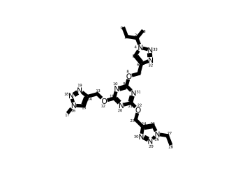 CCC(C)n1cc(COc2nc(OCc3cn(C)nn3)nc(OCc3cn(CC)nn3)n2)nn1